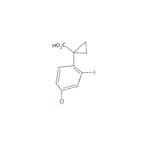 O=C(O)C1(c2ccc(Cl)cc2I)CC1